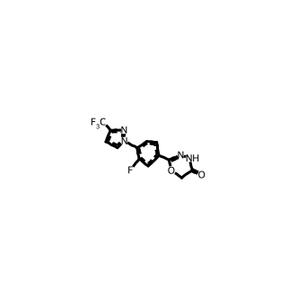 O=C1COC(c2ccc(-n3ccc(C(F)(F)F)n3)c(F)c2)=NN1